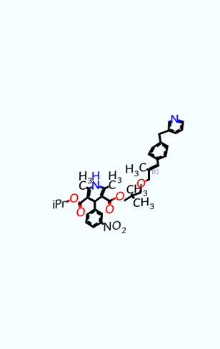 CC1=C(C(=O)OCC(C)(C)COC/C(C)=C/c2ccc(Cc3cccnc3)cc2)C(c2cccc([N+](=O)[O-])c2)C(C(=O)OC(C)C)=C(C)N1